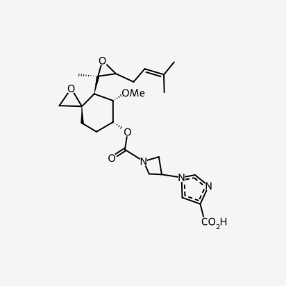 CO[C@@H]1[C@H](OC(=O)N2CC(n3cnc(C(=O)O)c3)C2)CC[C@]2(CO2)[C@H]1[C@@]1(C)OC1CC=C(C)C